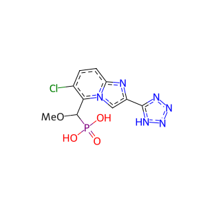 COC(c1c(Cl)ccc2nc(-c3nnn[nH]3)cn12)P(=O)(O)O